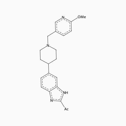 COc1ccc(CN2CCC(c3ccc4nc(C(C)=O)[nH]c4c3)CC2)cn1